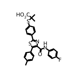 Cc1ccc(-c2sc(-c3ccc(SC(C)(C)C(=O)O)cc3)nc2C(=O)Nc2ccc(F)cc2)cc1